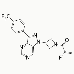 C=C(F)C(=O)N1CC(n2nc(-c3ccc(C(F)(F)F)cc3)c3ncncc32)C1